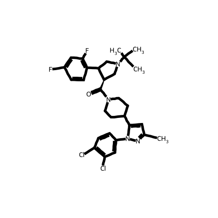 Cc1cc(C2CCN(C(=O)[C@@H]3CN(C(C)(C)C)CC3c3ccc(F)cc3F)CC2)n(-c2ccc(Cl)c(Cl)c2)n1